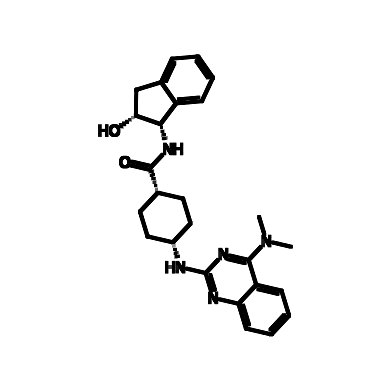 CN(C)c1nc(N[C@H]2CC[C@@H](C(=O)N[C@H]3c4ccccc4C[C@H]3O)CC2)nc2ccccc12